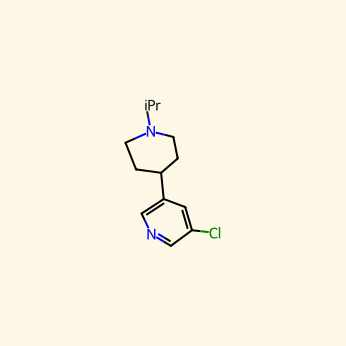 CC(C)N1CCC(c2cncc(Cl)c2)CC1